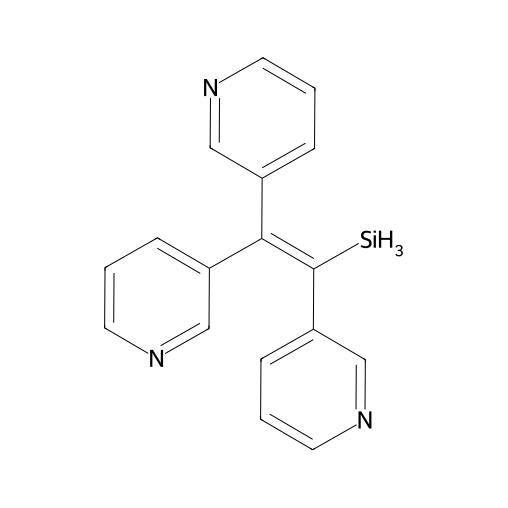 [SiH3]C(=C(c1cccnc1)c1cccnc1)c1cccnc1